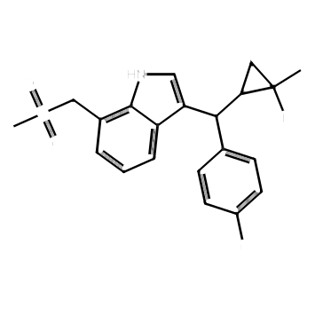 CC1(F)CC1C(c1ccc(Cl)cc1)c1c[nH]c2c(CS(C)(=O)=O)cccc12